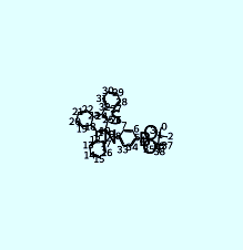 CC1(C)OB(c2ccc(-n3c4c(c5ccccc53)C3C=CC=CC3c3c-4sc4ccccc34)cc2)OC1(C)C